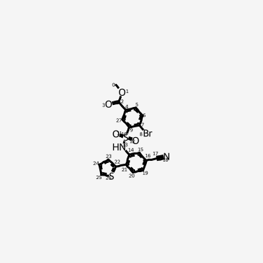 COC(=O)c1ccc(Br)c(S(=O)(=O)Nc2cc(C#N)ccc2-c2cccs2)c1